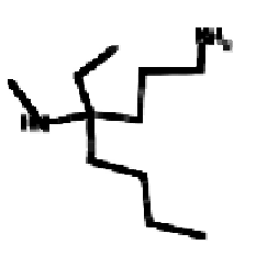 CCCCC(CC)(CCCN)NC